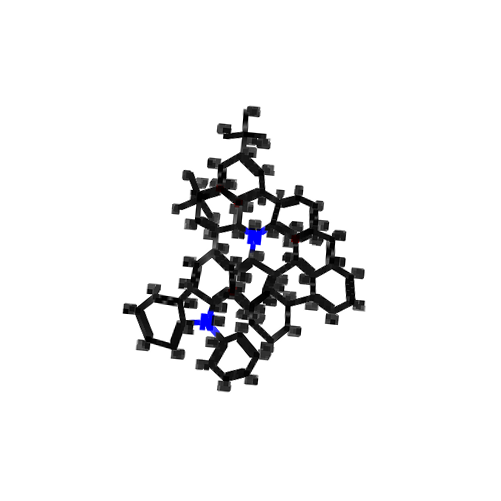 CC(C)(C)c1cc(-c2ccccc2N(c2ccccc2-c2ccc3c(c2)c2ccccc2n3-c2ccccc2)c2ccccc2-c2cccc3cccc(C4CCCCC4)c23)cc(C(C)(C)C)c1